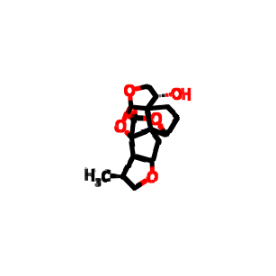 C[C@@H]1COC2CC34C5CCC36C(OC[C@@H]6O)OC4(C(=O)O5)C21